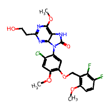 COc1cc(Cl)c(-n2c(=O)[nH]c3c(OC)nc(CCO)nc32)cc1OCc1c(OC)ccc(F)c1F